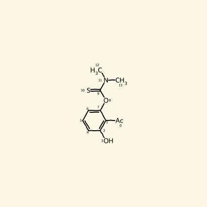 CC(=O)c1c(O)cccc1OC(=S)N(C)C